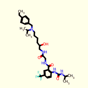 CCc1ccc(CN(CCCCC(O)CNC(=O)CNC(=O)c2cc(C(F)(F)F)ccc2NC(=O)NC(C)C)C(C)C)cc1